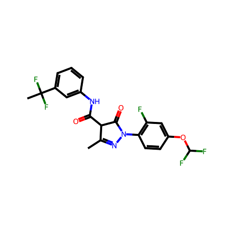 CC1=NN(c2ccc(OC(F)F)cc2F)C(=O)C1C(=O)Nc1cccc(C(C)(F)F)c1